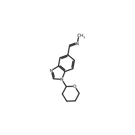 CN=Cc1ccc2c(c1)ncn2C1CCCCO1